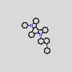 c1ccc(-c2cccc3c(-n4c5ccccc5c5c6c7ccccc7n(-c7ccccc7)c6c6ccccc6c54)cccc23)cc1